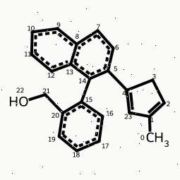 CC1=CCC(c2ccc3ccccc3c2-c2ccccc2CO)=C1